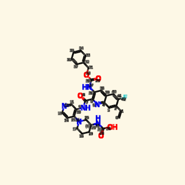 C=Cc1cc2nc(C(=O)Nc3cnccc3N3CCC[C@H](NC(=O)O)C3)c(NC(=O)OCc3ccccc3)cc2cc1F